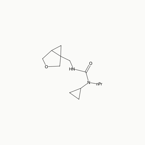 CCCN(C(=O)NCC12COCC1C2)C1CC1